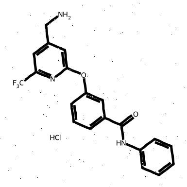 Cl.NCc1cc(Oc2cccc(C(=O)Nc3ccccc3)c2)nc(C(F)(F)F)c1